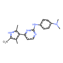 Cc1[nH]c([N+](=O)[O-])c(C)c1-c1ccnc(Nc2ccc(N(C)C)cc2)n1